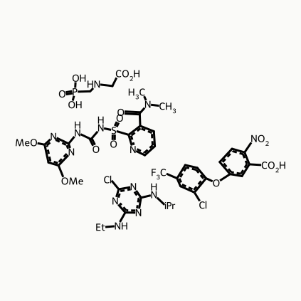 CCNc1nc(Cl)nc(NC(C)C)n1.COc1cc(OC)nc(NC(=O)NS(=O)(=O)c2ncccc2C(=O)N(C)C)n1.O=C(O)CNCP(=O)(O)O.O=C(O)c1cc(Oc2ccc(C(F)(F)F)cc2Cl)ccc1[N+](=O)[O-]